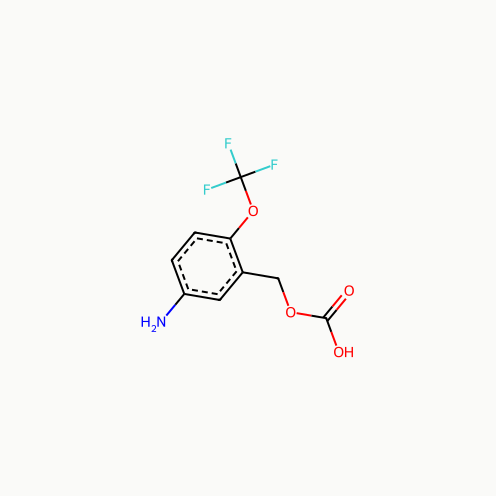 Nc1ccc(OC(F)(F)F)c(COC(=O)O)c1